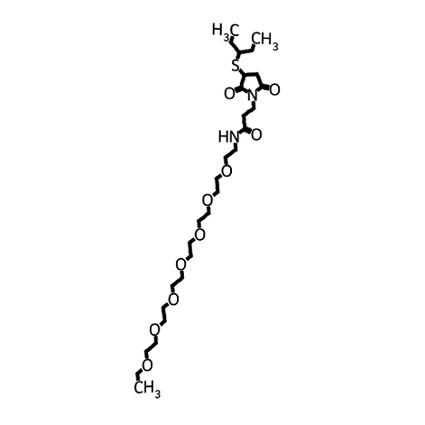 CCOCCOCCOCCOCCOCCOCCOCCNC(=O)CCN1C(=O)CC(SC(CC)CC)C1=O